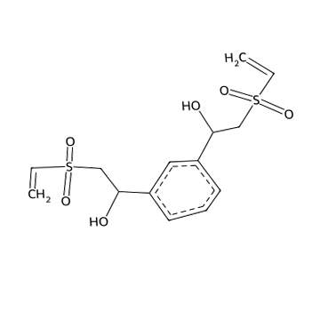 C=CS(=O)(=O)CC(O)c1cccc(C(O)CS(=O)(=O)C=C)c1